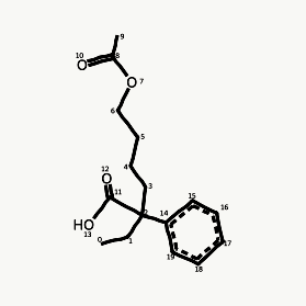 CCC(CCCCOC(C)=O)(C(=O)O)c1ccccc1